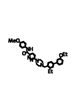 CCOc1cccc(-c2ccc(CN3CCN(c4ccc(C(=O)Nc5ccc(OC)cc5)nn4)CC3)c(CC)c2)c1